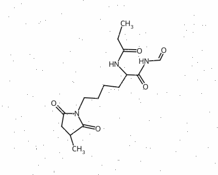 CCC(=O)NC(CCCCN1C(=O)CC(C)C1=O)C(=O)NC=O